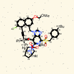 COCOc1cc(Cn2cnc3c(S(=O)(=O)Cc4ccc(C(C)(C)C)cc4)nc(N4C[C@H]5CC[C@@H](C4)N5C(=O)OC(C)(C)C)c(C#N)c32)c2c(C#C[Si](C(C)C)(C(C)C)C(C)C)c(F)ccc2c1